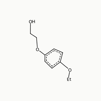 CCOc1ccc(OCCO)cc1